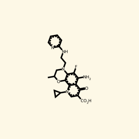 CC1CN(CCNc2ccccn2)c2c(F)c(N)c3c(=O)c(C(=O)O)cn(C4CC4)c3c2O1